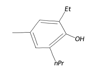 CCCc1cc(C)cc(CC)c1O